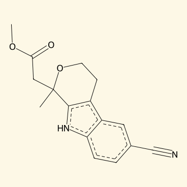 COC(=O)CC1(C)OCCc2c1[nH]c1ccc(C#N)cc21